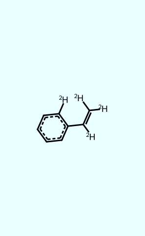 [2H]C([2H])=C([2H])c1ccccc1[2H]